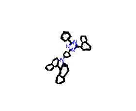 C1=CC2=CC=CC(c3nc(-c4ccccc4)nc(-c4ccc(-n5c6ccc7ccccc7c6c6c7ccccc7ccc65)cc4)n3)C2C=C1